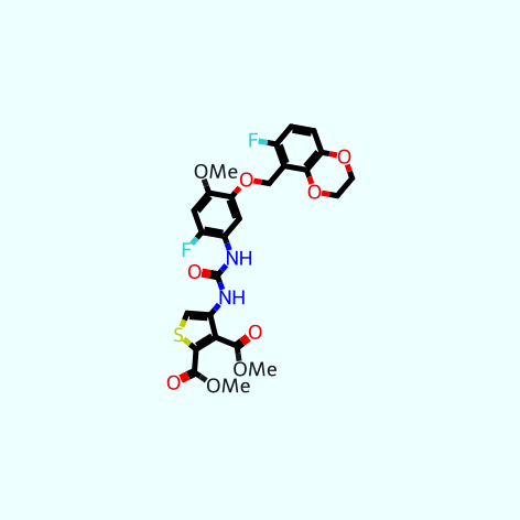 COC(=O)c1scc(NC(=O)Nc2cc(OCc3c(F)ccc4c3OCCO4)c(OC)cc2F)c1C(=O)OC